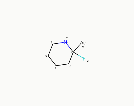 CC(=O)C1(F)CCCC[N]1